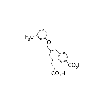 O=C(O)CCCCC(COc1cccc(C(F)(F)F)c1)Cc1ccc(C(=O)O)cc1